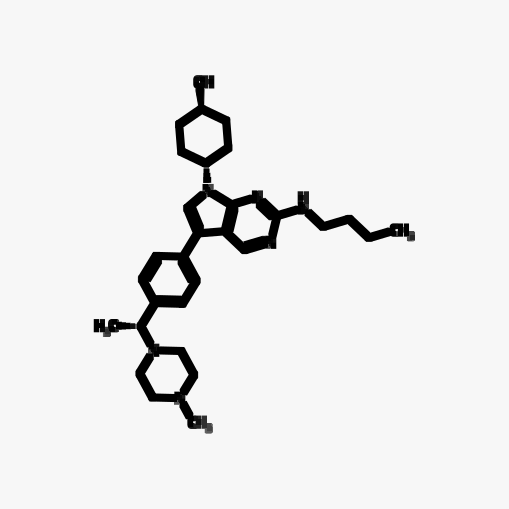 CCCCNc1ncc2c(-c3ccc([C@@H](C)N4CCN(C)CC4)cc3)cn([C@H]3CC[C@H](O)CC3)c2n1